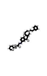 O=C(/C=C/c1ccc2c(c1)C(=O)CC1(CCCN(CCc3ccccc3)CC1)O2)NOC1CCCCO1